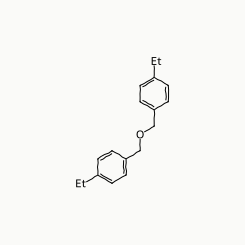 CCc1ccc(COCc2ccc(CC)cc2)cc1